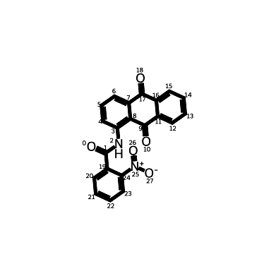 O=C(Nc1cccc2c1C(=O)c1ccccc1C2=O)c1ccccc1[N+](=O)[O-]